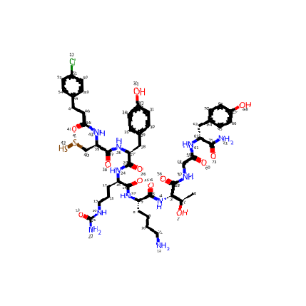 C[C@@H](O)[C@H](NC(=O)[C@H](CCCCN)NC(=O)[C@@H](CCCNC(N)=O)NC(=O)[C@H](Cc1ccc(O)cc1)NC(=O)[C@@H](CSS)NC(=O)CCc1ccc(Cl)cc1)C(=O)NCC(=O)N[C@H](Cc1ccc(O)cc1)C(N)=O